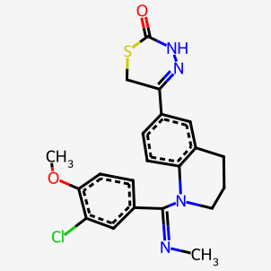 C/N=C(/c1ccc(OC)c(Cl)c1)N1CCCc2cc(C3=NNC(=O)SC3)ccc21